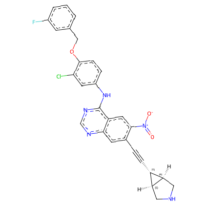 O=[N+]([O-])c1cc2c(Nc3ccc(OCc4cccc(F)c4)c(Cl)c3)ncnc2cc1C#C[C@@H]1[C@H]2CNC[C@@H]12